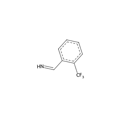 N=Cc1ccccc1C(F)(F)F